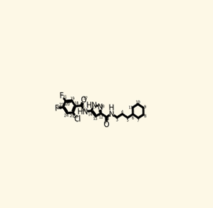 O=C(NCCCC1CCCCC1)c1cc(NC(=O)c2cc(F)c(F)cc2Cl)[nH]n1